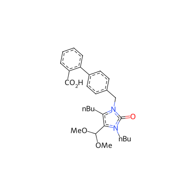 CCCCc1c(C(OC)OC)n(CCCC)c(=O)n1Cc1ccc(-c2ccccc2C(=O)O)cc1